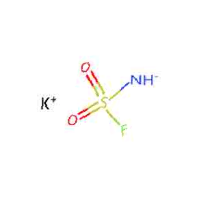 [K+].[NH-]S(=O)(=O)F